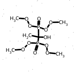 [CH2]C(O)(P(=O)(OOC)OOC)P(=O)(OOC)OOC